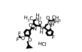 CNC(=O)NCC(NC(=O)c1nc(-c2ccc(OC(F)F)c(OCC3CC3)c2)oc1[C@H](C)N)c1ccc(F)cc1F.Cl